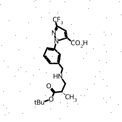 C[C@@H](CNCc1cccc(-n2nc(C(F)(F)F)cc2C(=O)O)c1)C(=O)OC(C)(C)C